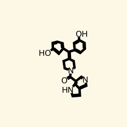 O=C(c1cncc2cc[nH]c12)N1CCC(=C(c2cccc(O)c2)c2cccc(O)c2)CC1